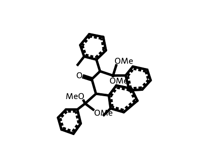 COC(OC)(c1ccccc1)C(C(=O)C(c1ccccc1C)C(OC)(OC)c1ccccc1)c1ccccc1C